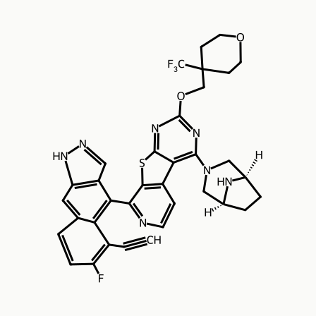 C#Cc1c(F)ccc2cc3[nH]ncc3c(-c3nccc4c3sc3nc(OCC5(C(F)(F)F)CCOCC5)nc(N5C[C@H]6CC[C@@H](C5)N6)c34)c12